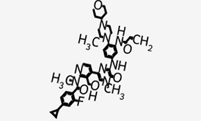 C=CC(=O)Nc1cc(Nc2nc(-c3ccnc(N(C)C(=O)c4ccc(C5CC5)cc4F)c3CO)cn(C)c2=O)ccc1N1CCN(C2CCOCC2)C[C@@H]1C